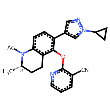 CC(=O)N1c2ccc(-c3cnn(C4CC4)c3)c(Oc3ncccc3C#N)c2CC[C@@H]1C